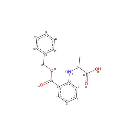 CC(Nc1ccccc1C(=O)OCc1ccccc1)C(=O)O